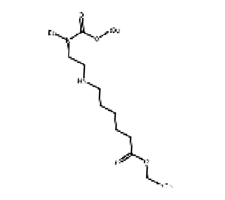 CCCCCCCCCCCOC(=O)CCCCCNCCN(CC)C(=O)OC(C)(C)C